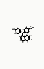 Oc1ccc(C(c2ccc(O)cc2)c2cccc3ccccc23)cc1